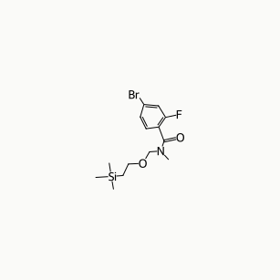 CN(COCC[Si](C)(C)C)C(=O)c1ccc(Br)cc1F